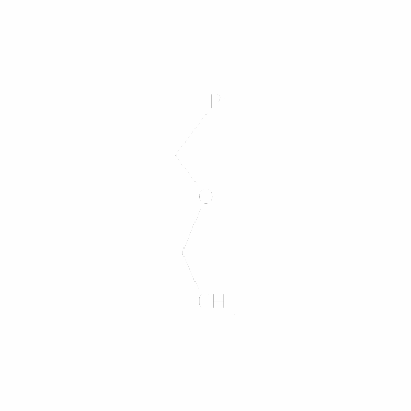 CCOC[P]